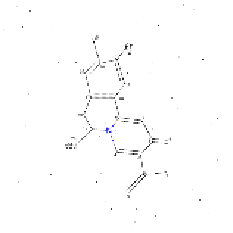 C=C(C)C1=CN2C(=CC1=C)c1cc(CC)c(C)cc1CC2C(C)(C)C